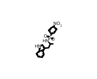 CC(Cc1c[nH]c2ccccc12)NS(=O)(=O)c1ccc([N+](=O)[O-])cc1